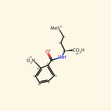 CSCC[C@H](NC(=O)c1ccccc1[N+](=O)[O-])C(=O)O